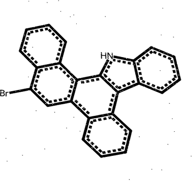 Brc1cc2c3ccccc3c3c4ccccc4[nH]c3c2c2ccccc12